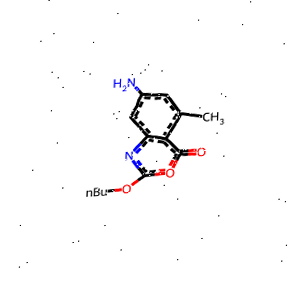 CCCCOc1nc2cc(N)cc(C)c2c(=O)o1